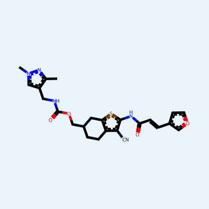 Cc1nn(C)cc1CNC(=O)OCC1CCc2c(sc(NC(=O)C=Cc3ccoc3)c2C#N)C1